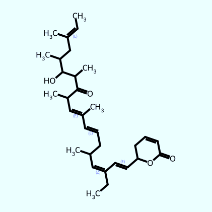 C/C=C(\C)CC(C)C(O)C(C)C(=O)C(C)/C=C(C)/C=C/CC(C)/C=C(\C=C\C1CC=CC(=O)O1)CC